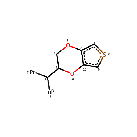 CCCC(CCC)C1COc2cscc2O1